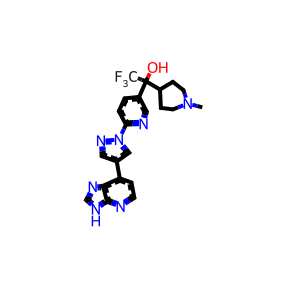 CN1CCC(C(O)(c2ccc(-n3cc(-c4ccnc5[nH]cnc45)cn3)nc2)C(F)(F)F)CC1